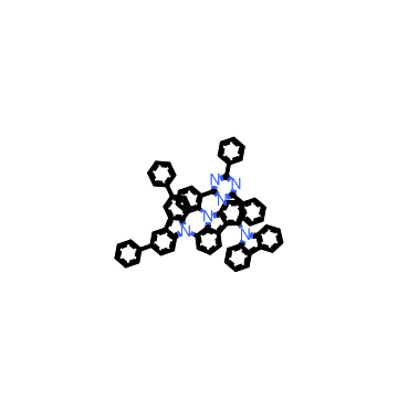 c1ccc(-c2ccc3c(c2)c2cc(-c4ccccc4)ccc2n3-c2cccc3c4c(-n5c6ccccc6c6ccccc65)cccc4n(-c4ccccc4-c4nc(-c5ccccc5)nc(-c5ccccc5)n4)c23)cc1